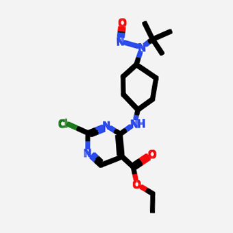 CCOC(=O)c1cnc(Cl)nc1NC1CCC(N(N=O)C(C)(C)C)CC1